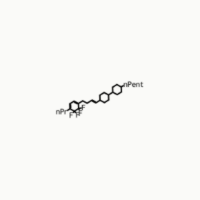 CCCCCC1CCC(C2CCC(/C=C/CCC3=CC=C(CCC)C(F)(F)C3(F)F)CC2)CC1